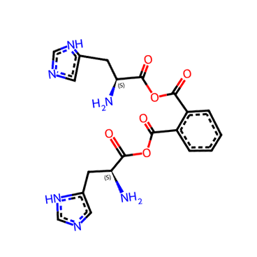 N[C@@H](Cc1cnc[nH]1)C(=O)OC(=O)c1ccccc1C(=O)OC(=O)[C@@H](N)Cc1cnc[nH]1